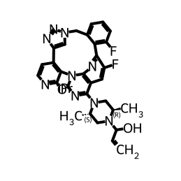 C=CC(O)N1C[C@H](C)N(c2nc(=O)n3c4nc(c(F)cc24)-c2c(F)cccc2Cn2cc(nn2)-c2ccnc(C(C)C)c2-3)C[C@H]1C